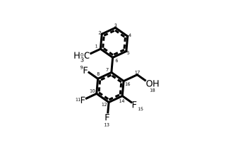 Cc1ccccc1-c1c(F)c(F)c(F)c(F)c1CO